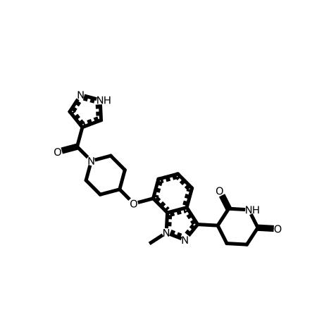 Cn1nc(C2CCC(=O)NC2=O)c2cccc(OC3CCN(C(=O)c4cn[nH]c4)CC3)c21